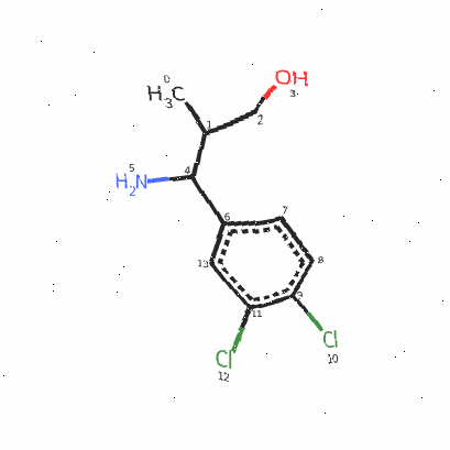 CC(CO)C(N)c1ccc(Cl)c(Cl)c1